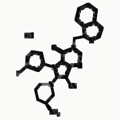 Cl.N#Cc1c(N2CCC[C@H](N)C2)n(-c2cccc(F)c2)c2c(=O)n(Cc3nccc4ccccc34)cnc12